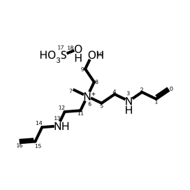 C=CCNCC[N+](C)(CCO)CCNCC=C.O=S(=O)(O)O